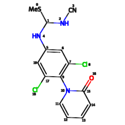 CSC(NC#N)Nc1cc(Cl)c(-n2ccccc2=O)c(Cl)c1